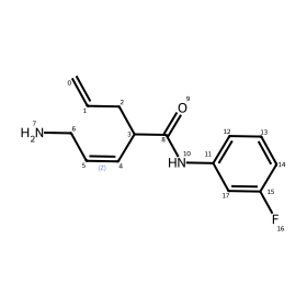 C=CCC(/C=C\CN)C(=O)Nc1cccc(F)c1